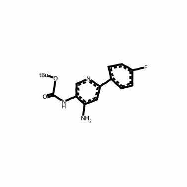 CC(C)(C)OC(=O)Nc1cnc(-c2ccc(F)cc2)cc1N